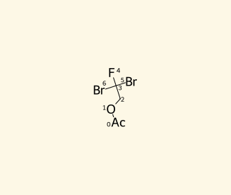 CC(=O)OCC(F)(Br)Br